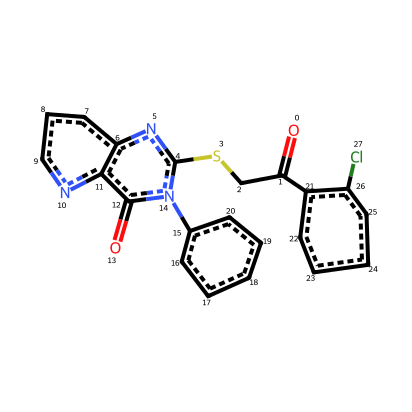 O=C(CSc1nc2cccnc2c(=O)n1-c1ccccc1)c1ccccc1Cl